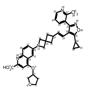 O=C(O)c1cc(OC2CCOC2)c2cc(N3CC4(CC(C=Cc5c(-c6cccnc6C(F)(F)F)noc5C5CC5)C4)C3)ccc2n1